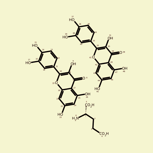 N[C@@H](CCC(=O)O)C(=O)O.O=c1c(O)c(-c2ccc(O)c(O)c2)oc2cc(O)cc(O)c12.O=c1c(O)c(-c2ccc(O)c(O)c2)oc2cc(O)cc(O)c12